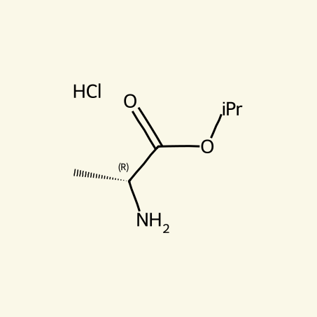 CC(C)OC(=O)[C@@H](C)N.Cl